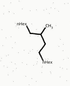 [CH2]CCCCCCCC(C)CCCCCCC